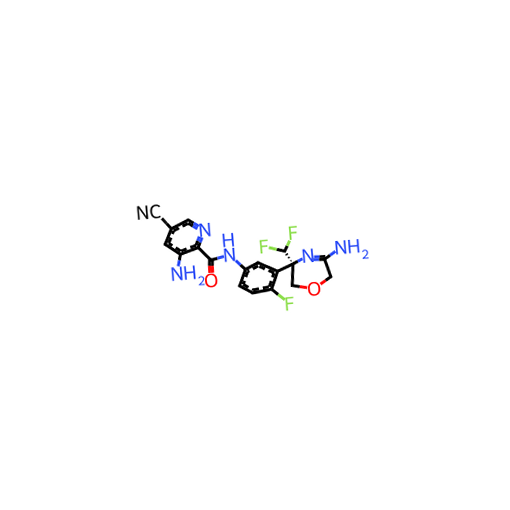 N#Cc1cnc(C(=O)Nc2ccc(F)c([C@]3(C(F)F)COCC(N)=N3)c2)c(N)c1